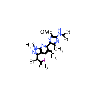 CCC(CC)Nc1nc(C)c(-c2nc3c(cc2C)c(C(CC)C(C)I)nn3C)nc1OC